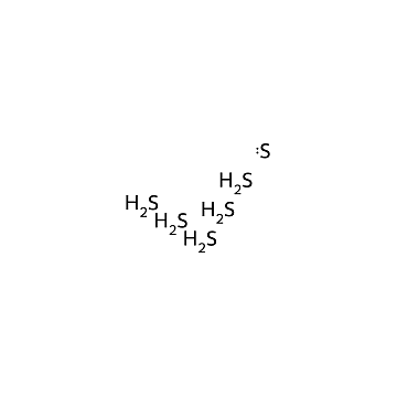 S.S.S.S.S.[S]